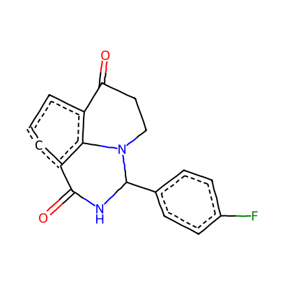 O=C1CCN2c3c1cccc3C(=O)NC2c1ccc(F)cc1